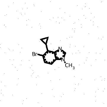 Cn1cnc2c(C3CC3)c(Br)ccc21